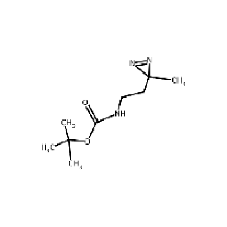 CC1(CCNC(=O)OC(C)(C)C)N=N1